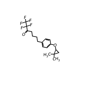 CC1(C)CC1Oc1ccc(CCCCC(=O)C(F)(F)C(F)(F)F)cc1